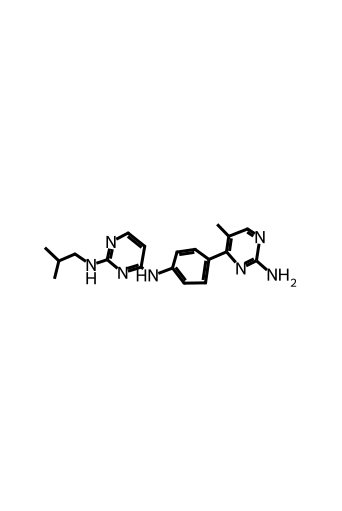 Cc1cnc(N)nc1-c1ccc(Nc2ccnc(NCC(C)C)n2)cc1